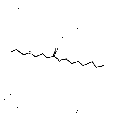 CCCCCCCOC(=O)CCCOCCC